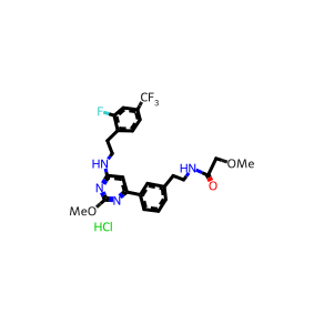 COCC(=O)NCCc1cccc(-c2cc(NCCc3ccc(C(F)(F)F)cc3F)nc(OC)n2)c1.Cl